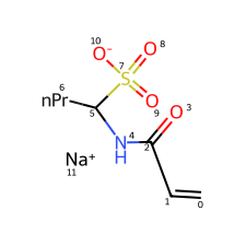 C=CC(=O)NC(CCC)S(=O)(=O)[O-].[Na+]